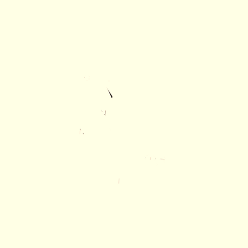 O=C(O)c1cc2c(cc1F)ncn2C[C@@H]1CCO1